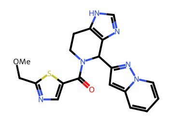 COCc1ncc(C(=O)N2CCc3[nH]cnc3C2c2cc3ccccn3n2)s1